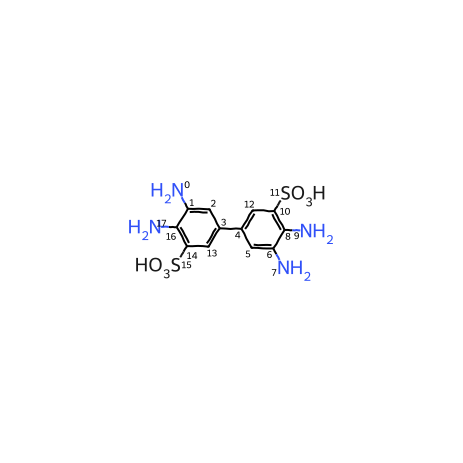 Nc1cc(-c2cc(N)c(N)c(S(=O)(=O)O)c2)cc(S(=O)(=O)O)c1N